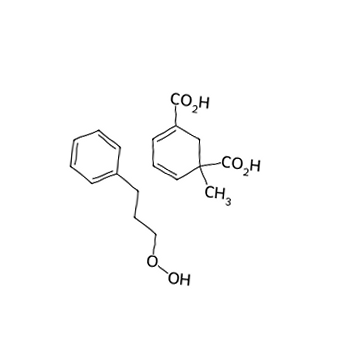 CC1(C(=O)O)C=CC=C(C(=O)O)C1.OOCCCc1ccccc1